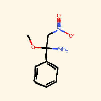 COC(N)(C[N+](=O)[O-])c1ccccc1